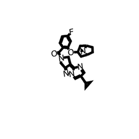 CN1C2CCC1CC(Oc1cc(F)ccc1C(=O)N1Cc3nn4cc(C5CC5)cnc4c3C1)C2